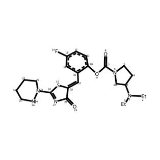 CCN(CC)C1CCN(C(=O)Oc2ccc(F)cc2/C=C2\SC(N3CCCCN3)=NC2=O)C1